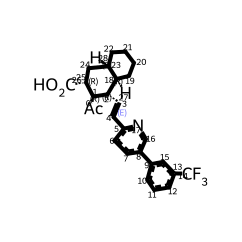 CC(=O)[C@@H]1[C@@H](/C=C/c2ccc(-c3cccc(C(F)(F)F)c3)cn2)[C@@H]2CCCC[C@H]2C[C@H]1C(=O)O